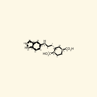 O=C(O)N1CCN(C(=O)O)[C@H](CCNc2ccc3[nH]ncc3c2)C1